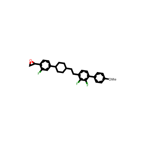 COc1ccc(-c2ccc(CCC3CCC(c4ccc(C5CO5)c(F)c4)CC3)c(F)c2F)cc1